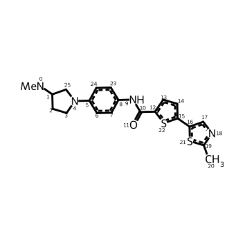 CNC1CCN(c2ccc(NC(=O)c3ccc(-c4cnc(C)s4)s3)cc2)C1